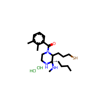 CCCC[C@]1(NC)NCCN(C(=O)c2cccc(C)c2C)C1CCCS.Cl.Cl